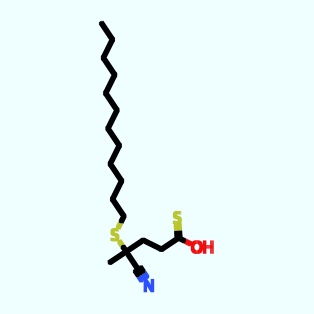 CCCCCCCCCCCCSC(C)(C#N)CCC(O)=S